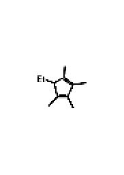 CC[C]1C(C)=C(C)C(C)=C1C